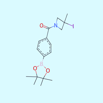 CC1(I)CN(C(=O)c2ccc(B3OC(C)(C)C(C)(C)O3)cc2)C1